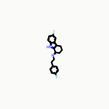 Fc1ccc(CC/N=C2\CCCc3c2[nH]c2ccc(F)cc32)cc1